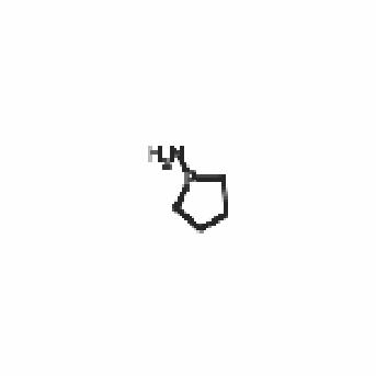 NP1CCCC1